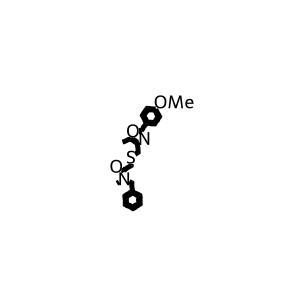 COc1ccc(-c2nc(CSCC(=O)N(C)Cc3ccccc3)c(C)o2)cc1